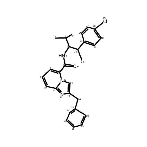 CC(C)C(NC(=O)c1cccc2nc(Cc3ccccc3)cn12)C(C)c1ccc(Cl)cc1